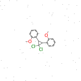 COc1ccccc1C1C(c2ccccc2OC)C1(Cl)Cl